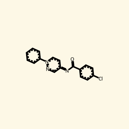 O=C(/N=c1\ccn(-c2ccccc2)nc1)c1ccc(Cl)cc1